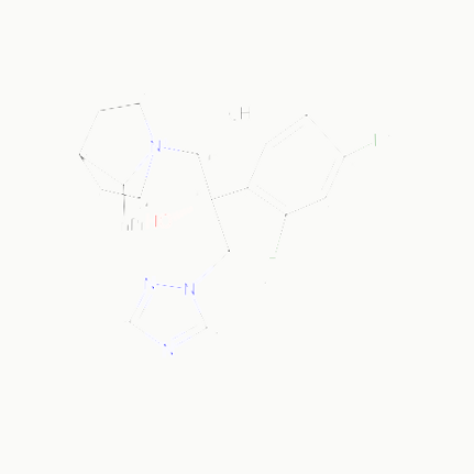 CCCC1C2CC[N+]1([C@H](C)[C@](O)(Cn1cncn1)c1ccc(F)cc1F)CC2